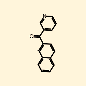 O=C(c1[c]c2ccccc2cc1)c1cccnc1